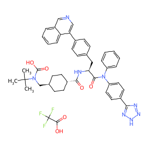 CC(C)(C)N(C[C@H]1CC[C@H](C(=O)N[C@@H](Cc2ccc(-c3cncc4ccccc34)cc2)C(=O)N(c2ccccc2)c2ccc(-c3nn[nH]n3)cc2)CC1)C(=O)O.O=C(O)C(F)(F)F